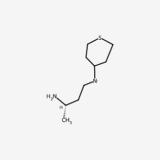 C[C@H](N)CC[N]C1CCSCC1